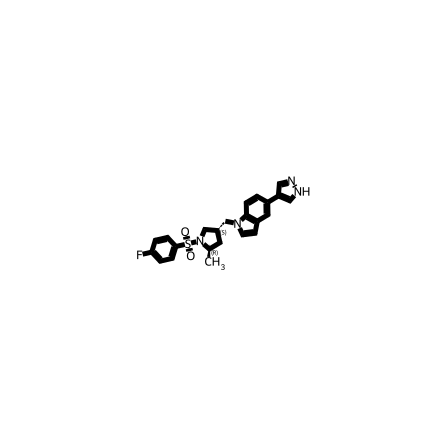 C[C@@H]1C[C@@H](Cn2ccc3cc(-c4cn[nH]c4)ccc32)CN1S(=O)(=O)c1ccc(F)cc1